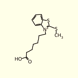 CSc1sc2ccccc2[n+]1CCCCCCC(=O)O